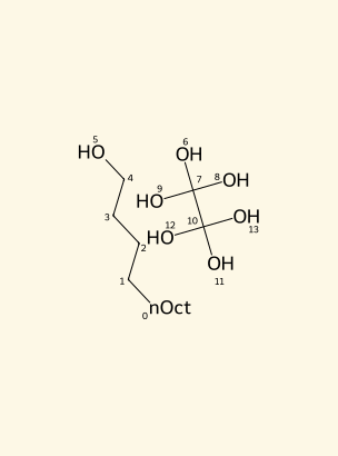 CCCCCCCCCCCCO.OC(O)(O)C(O)(O)O